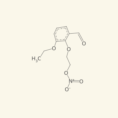 CCOc1cccc(C=O)c1OCCO[N+](=O)[O-]